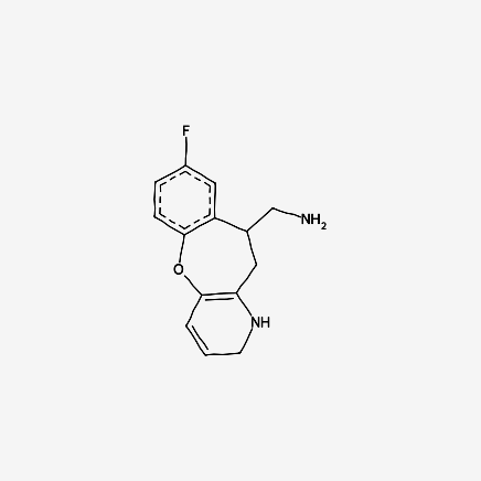 NCC1CC2=C(C=CCN2)Oc2ccc(F)cc21